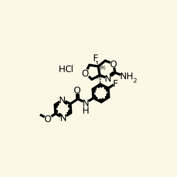 COc1cnc(C(=O)Nc2ccc(F)c([C@]34COC[C@@]3(F)COC(N)=N4)c2)cn1.Cl